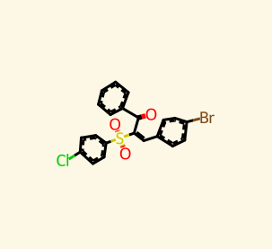 O=C(/C(=C\c1ccc(Br)cc1)S(=O)(=O)c1ccc(Cl)cc1)c1ccccc1